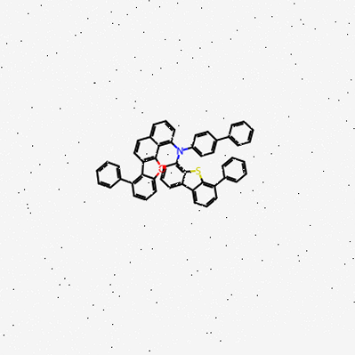 c1ccc(-c2ccc(N(c3cccc4c3sc3c(-c5ccccc5)cccc34)c3cccc4ccc5c(oc6cccc(-c7ccccc7)c65)c34)cc2)cc1